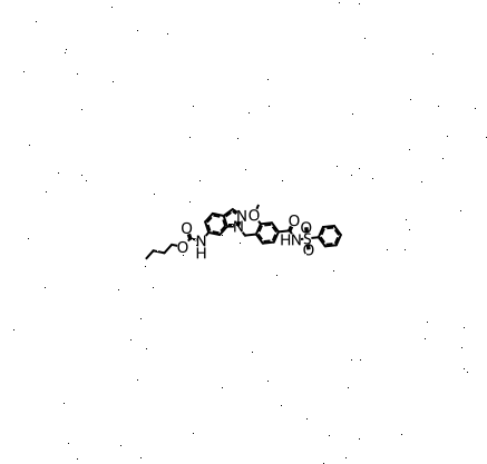 CCCCOC(=O)Nc1ccc2cnn(Cc3ccc(C(=O)NS(=O)(=O)c4ccccc4)cc3OC)c2c1